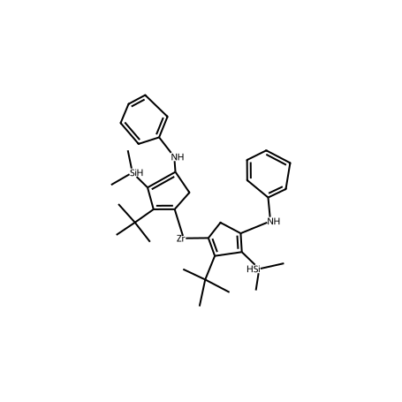 C[SiH](C)C1=C(Nc2ccccc2)C[C]([Zr][C]2=C(C(C)(C)C)C([SiH](C)C)=C(Nc3ccccc3)C2)=C1C(C)(C)C